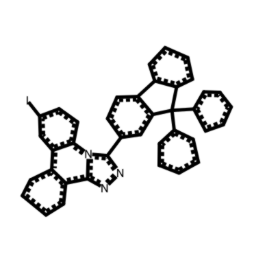 Ic1ccc2c(c1)c1ccccc1c1nnc(-c3ccc4c(c3)C(c3ccccc3)(c3ccccc3)c3ccccc3-4)n21